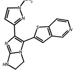 Cn1ccc(-c2nc3n(c2-c2cc4cnccc4s2)CCN3)n1